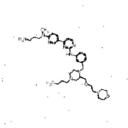 CCCCN1CCN(Cc2cccc(Nc3nccc(-c4ccc(N(C)CCCN)nc4)n3)c2)C(COCCN2CCOCC2)C1